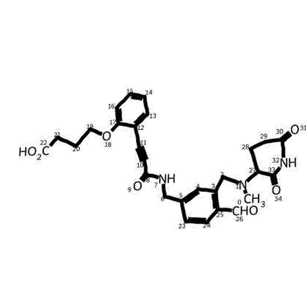 CN(Cc1cc(CNC(=O)C#Cc2ccccc2OCCCC(=O)O)ccc1C=O)C1CCC(=O)NC1=O